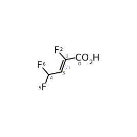 O=C(O)/C(F)=C/C(F)F